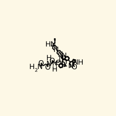 C#CCNC1(C)CCN(C2CCN(c3nc([C@@](COCNC(=O)CNC(=O)CCC(N)=O)(OC4CC4)c4ccccc4)c4cc(-c5cn(C)c(=O)c6[nH]ccc56)ccc4n3)CC2)CC1